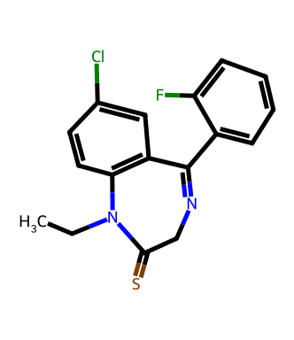 CCN1C(=S)CN=C(c2ccccc2F)c2cc(Cl)ccc21